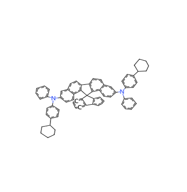 c1ccc(N(c2ccc(C3CCCCC3)cc2)c2ccc3c4c(ccc3c2)-c2ccc3cc(N(c5ccccc5)c5ccc(C6CCCCC6)cc5)ccc3c2C42c3ccccc3-c3ccccc32)cc1